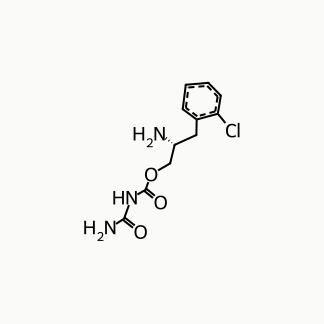 NC(=O)NC(=O)OC[C@H](N)Cc1ccccc1Cl